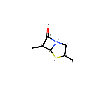 CC1CN2C(=O)C(C)C2S1